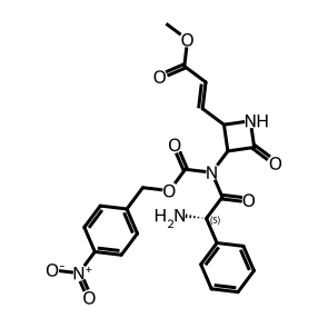 COC(=O)C=CC1NC(=O)C1N(C(=O)OCc1ccc([N+](=O)[O-])cc1)C(=O)[C@@H](N)c1ccccc1